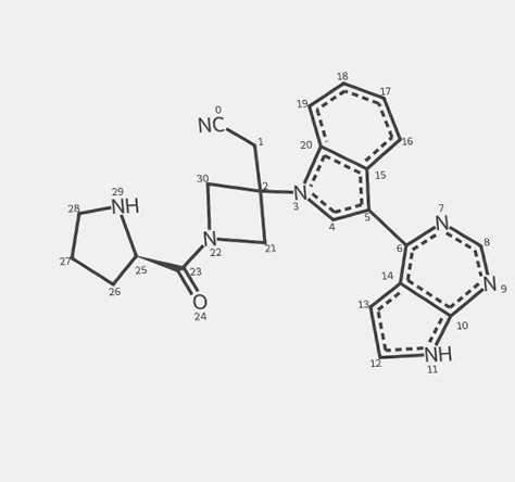 N#CCC1(n2cc(-c3ncnc4[nH]ccc34)c3ccccc32)CN(C(=O)[C@H]2CCCN2)C1